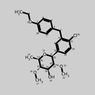 CCOc1ccc(Cc2cc([C@@H]3O[C@H](C)[C@@H](OC)[C@H](O)[C@H]3OC)ccc2Cl)cc1